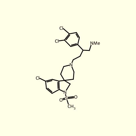 CNCC(CCN1CCC2(CC1)CN(S(C)(=O)=O)c1ccc(Cl)cc12)c1ccc(Cl)c(Cl)c1